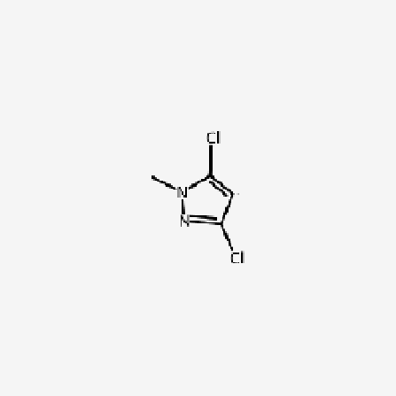 Cn1nc(Cl)[c]c1Cl